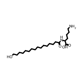 NCCCCC(NC(=O)CCCCCCCCCCCCCCCO)C(=O)O